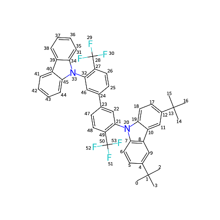 CC(C)(C)c1ccc2c(c1)c1cc(C(C)(C)C)ccc1n2-c1cc(-c2ccc(C(F)(F)F)c(-n3c4ccccc4c4ccccc43)c2)ccc1C(F)(F)F